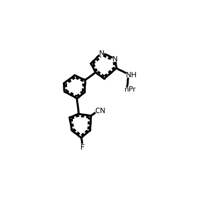 CCCNc1cc(-c2cccc(-c3ccc(F)cc3C#N)c2)cnn1